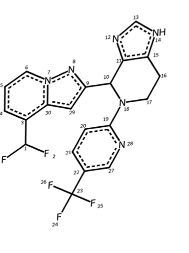 FC(F)c1cccn2nc(C3c4nc[nH]c4CCN3c3ccc(C(F)(F)F)cn3)cc12